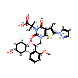 COc1ccccc1[C@H](Cn1c(=O)n(C(C)(C)C(=O)O)c(=O)c2c(C)c(-n3cccn3)sc21)O[C@H]1CC[C@@H](O)CC1